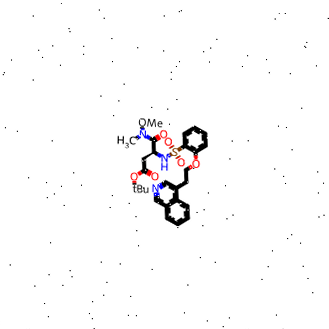 CON(C)C(=O)[C@H](CC(=O)OC(C)(C)C)NS(=O)(=O)c1ccccc1OCCc1cncc2ccccc12